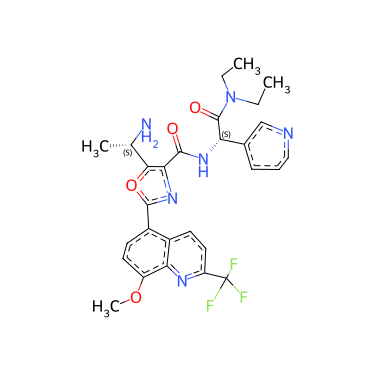 CCN(CC)C(=O)[C@@H](NC(=O)c1nc(-c2ccc(OC)c3nc(C(F)(F)F)ccc23)oc1[C@H](C)N)c1cccnc1